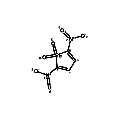 O=[N+]([O-])C1=CC=C([N+](=O)[O-])S1(=O)=O